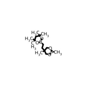 CB1OCC(C)(CCB2OC(C)(C)CC(C)(C)O2)CO1